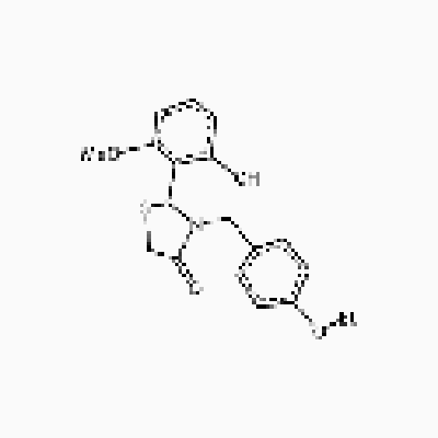 CCOc1ccc(CN2C(=O)CSC2c2c(O)cccc2OC)cc1